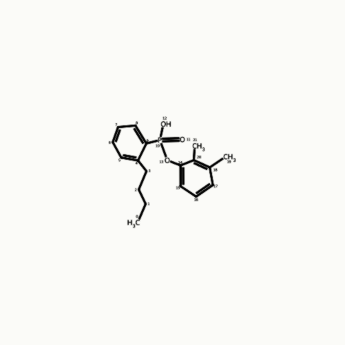 CCCCc1ccccc1P(=O)(O)Oc1cccc(C)c1C